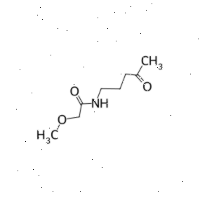 COCC(=O)NCCCC(C)=O